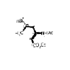 CCCC[C@@H](C)CC(=CC(=O)OCC)NC(C)=O